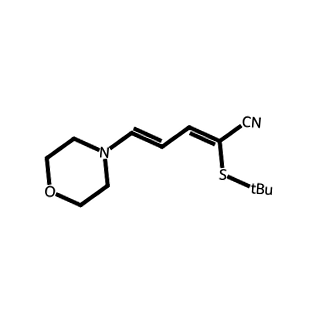 CC(C)(C)S/C(C#N)=C\C=C\N1CCOCC1